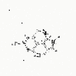 Cc1nn(C)c(N)c1-c1c(F)cc(F)cc1Cl